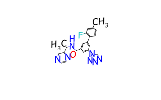 Cc1ccc(-c2cc(C(=O)NC(C)c3cnccn3)cc(-n3cnnn3)c2)c(F)c1